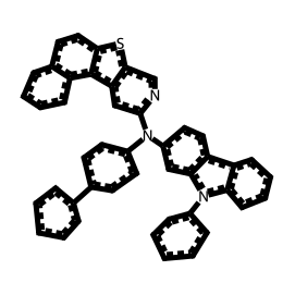 c1ccc(-c2ccc(N(c3ccc4c5ccccc5n(-c5ccccc5)c4c3)c3cc4c(cn3)sc3ccc5ccccc5c34)cc2)cc1